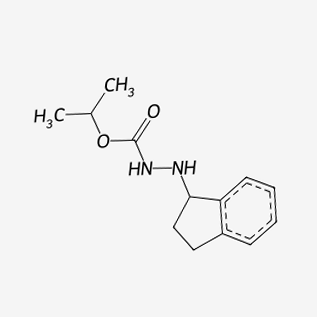 CC(C)OC(=O)NNC1CCc2ccccc21